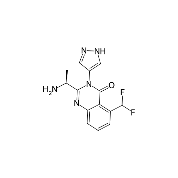 C[C@H](N)c1nc2cccc(C(F)F)c2c(=O)n1-c1cn[nH]c1